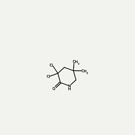 CC1(C)CNC(=O)C(Cl)(Cl)C1